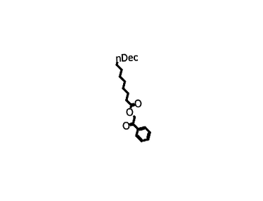 CCCCCCCCCCCCCCCCCC(=O)OCC(=O)c1ccccc1